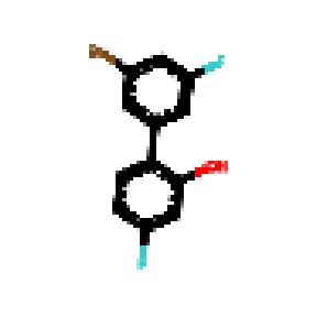 Oc1cc(F)ccc1-c1cc(F)cc(Br)c1